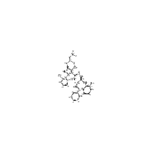 CN(C)CC1COc2c(C(=O)N[C@H]3N=C(c4ccccc4)c4cccc(F)c4NC3=O)c(-c3ccccc3F)nn2C1